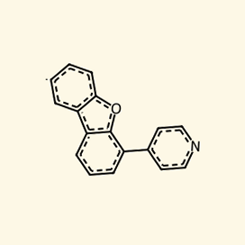 [c]1ccc2oc3c(-c4ccncc4)cccc3c2c1